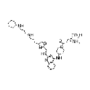 N[C@@H](CCC(=O)N1CCC(Nc2nc(NCc3nc(CCCNCCCNC4CCCCC4)co3)nc3ccccc23)CC1)C(=O)O